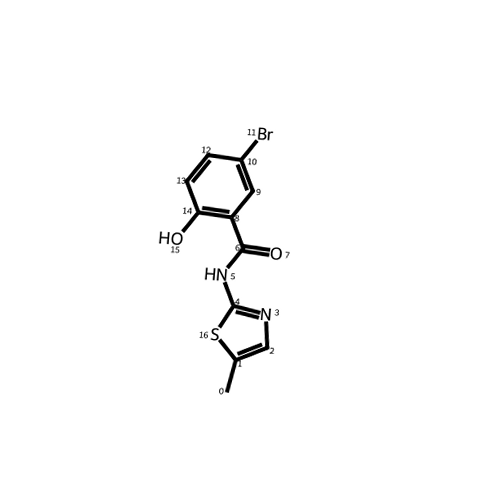 Cc1cnc(NC(=O)c2cc(Br)ccc2O)s1